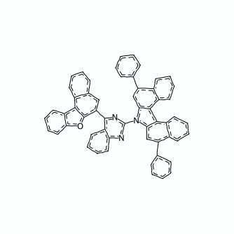 c1ccc(-c2cc3c(c4ccccc24)c2c4ccccc4c(-c4ccccc4)cc2n3-c2nc(-c3cc4ccccc4c4c3oc3ccccc34)c3ccccc3n2)cc1